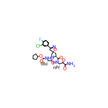 CCC[C@H](NC(=O)[C@@H]1C[C@]2(CC(c3ccc(F)c(Cl)c3)=NO2)CN1C(=O)[C@@H](NC(=O)OC1CCCC1)C(C)(C)C)C(=O)C(N)=O